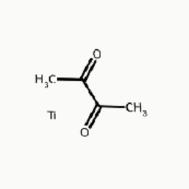 CC(=O)C(C)=O.[Ti]